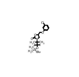 CC(C)(N1CC(COc2cccc(Cl)c2)OC1=O)C(I)(I)O[Si](C)(C)C(C)(C)C